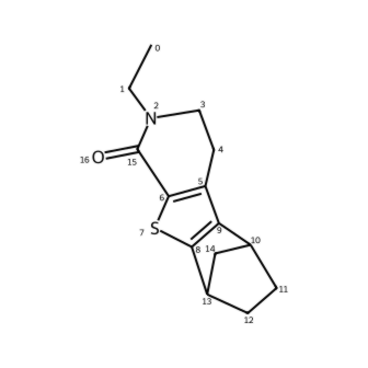 CCN1CCc2c(sc3c2C2CCC3C2)C1=O